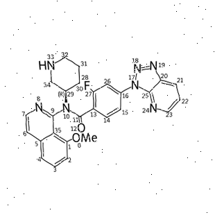 COc1cccc2ccnc(N(C(=O)c3ccc(-n4nnc5cccnc54)cc3F)[C@@H]3CCCNC3)c12